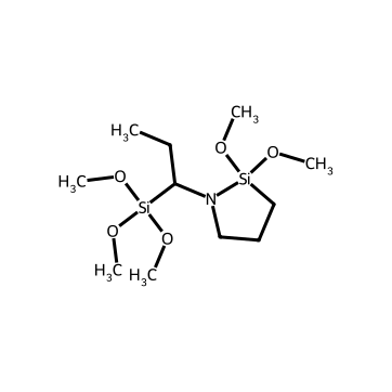 CCC(N1CCC[Si]1(OC)OC)[Si](OC)(OC)OC